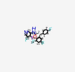 O=C(C[C@H](c1ccc(F)cc1)c1cc(F)cc(F)c1)Nc1cncc(F)c1I